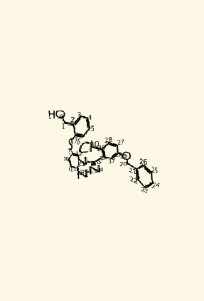 OCc1ccccc1Sc1ccc2nnc(-c3cc(OCc4ccccc4)ccc3Cl)n2c1